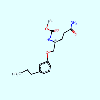 CC(C)(C)OC(=O)N[C@@H](CCC(N)=O)COc1cccc(CCC(=O)O)c1